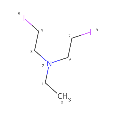 CCN(CCI)CCI